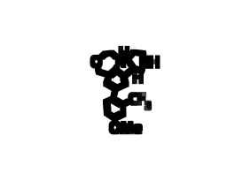 COc1ccc(-c2cc3c4c(c2)[C@@H]2CNCC[C@@H]2N4CCOC3)c(C(F)(F)F)c1